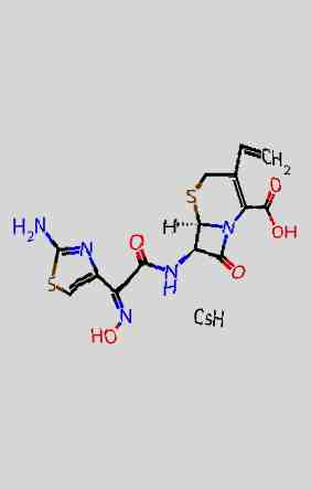 C=CC1=C(C(=O)O)N2C(=O)[C@@H](NC(=O)C(=NO)c3csc(N)n3)[C@H]2SC1.[CsH]